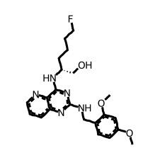 COc1ccc(CNc2nc(N[C@@H](CO)CCCCF)c3ncccc3n2)c(OC)c1